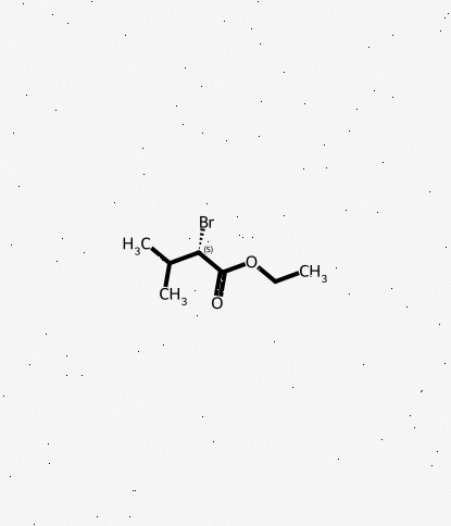 CCOC(=O)[C@@H](Br)C(C)C